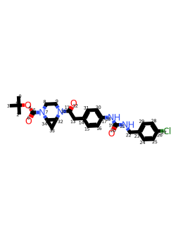 CC(C)(C)OC(=O)N1CCN(C(=O)Cc2ccc(NC(=O)NCc3ccc(Cl)cc3)cc2)C2CC21